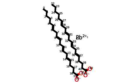 CCCCCC=CCC=CCC=CCC=CCCCC(=O)[O-].CCCCCC=CCC=CCC=CCC=CCCCC(=O)[O-].[Pb+2]